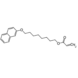 C=CC(=O)OCCCCCCCCOc1ccc2ccccc2c1